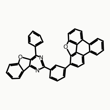 c1ccc(-c2nc(-c3cccc(-c4ccc5c6ccccc6c6cccc7oc4c5c76)c3)nc3c2oc2ccccc23)cc1